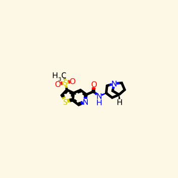 CS(=O)(=O)c1csc2cnc(C(=O)N[C@@H]3C[C@H]4CCN(C4)C3)cc12